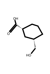 O=C(O)[C@@H]1CCC[C@H](CO)C1